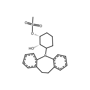 CS(=O)(=O)O[C@@H]1CCCC(N2c3ccccc3CCc3ccccc32)[C@@H]1O